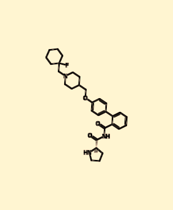 O=C(NC(=O)[C@@H]1CCCN1)c1ccccc1-c1ccc(OCC2CCN(CC3(F)CCCCC3)CC2)cc1